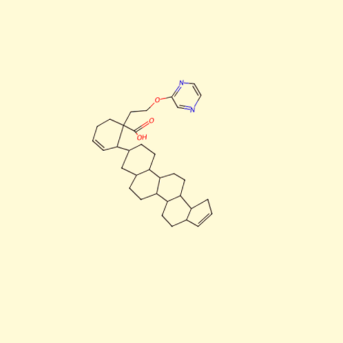 O=C(O)C1(CCOc2cnccn2)CCC=CC1C1CCC2C(CCC3C2CCC2C4CC=CC4CCC23)C1